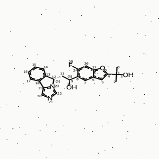 CC(C)(O)c1cc2cc([C@@H](O)C[C@H]3c4ccccc4-c4cncn43)c(F)cc2o1